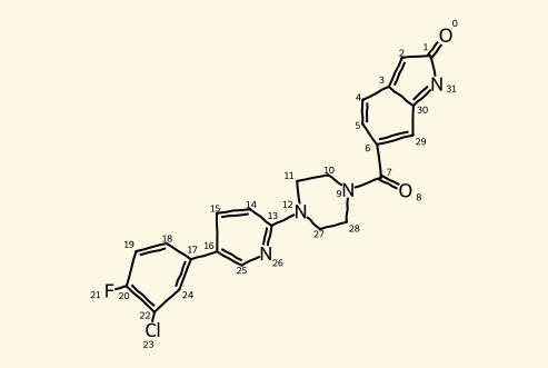 O=C1C=c2ccc(C(=O)N3CCN(c4ccc(-c5ccc(F)c(Cl)c5)cn4)CC3)cc2=N1